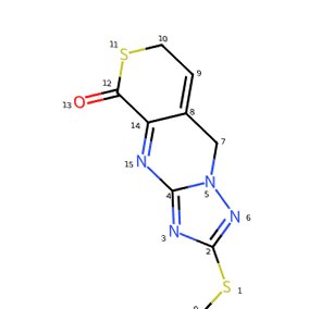 CSc1nc2n(n1)CC1=CCSC(=O)C1=N2